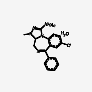 CC(=O)NC1=NN(C)C2CN=C(c3ccccc3)c3cc(Cl)ccc3N12.O